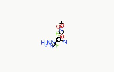 CC(C)(C)OC(=O)N1CCC(Oc2ccc(-c3nc(N)ncc3F)cc2C#N)C(F)(F)C1